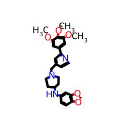 COc1cc(-c2cc(CN3CCC(Nc4ccc5c(c4)OCO5)CC3)ccn2)cc(OC)c1OC